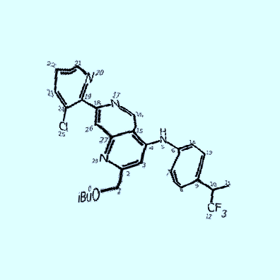 CC(C)COCc1cc(Nc2ccc(C(C)C(F)(F)F)cc2)c2cnc(-c3ncccc3Cl)cc2n1